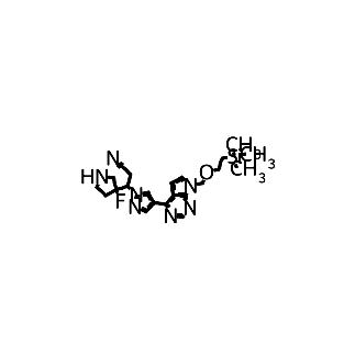 C[Si](C)(C)CCOCn1ccc2c(-c3cnn(C(CC#N)C4(F)CCNC4)c3)ncnc21